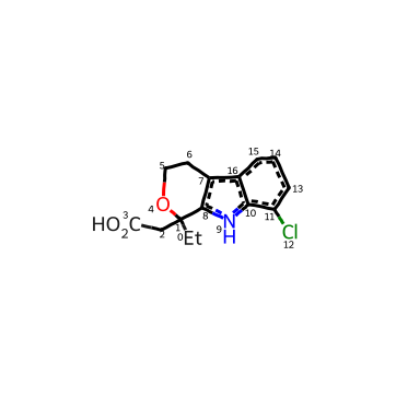 CCC1(CC(=O)O)OCCc2c1[nH]c1c(Cl)cccc21